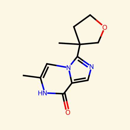 Cc1cn2c(C3(C)CCOC3)ncc2c(=O)[nH]1